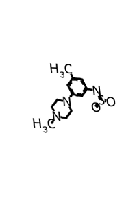 Cc1cc(N=S(=O)=O)cc(N2CCN(C)CC2)c1